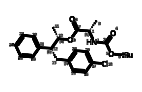 C[C@H](NC(=O)OC(C)(C)C)C(=O)O[C@@H](C)[C@H](Cc1ccc(Cl)cc1)c1ccccc1